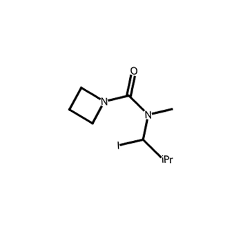 CC(C)C(I)N(C)C(=O)N1CCC1